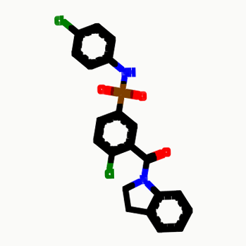 O=C(c1cc(S(=O)(=O)Nc2ccc(Cl)cc2)ccc1Cl)N1CCc2ccccc21